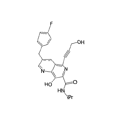 CC(C)NC(=O)c1nc(C#CCO)c2cc(Cc3ccc(F)cc3)cnc2c1O